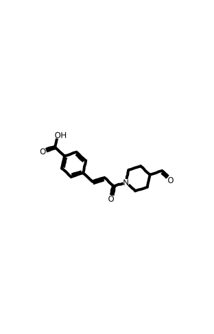 O=CC1CCN(C(=O)/C=C/c2ccc(C(=O)O)cc2)CC1